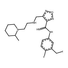 CC1CCCCN1CCNCc1nonc1C(=N)Nc1ccc(F)c(CI)c1